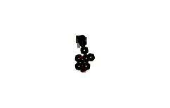 c1ccc2c(c1)-c1ccccc1C21c2cc(-c3ccc(-c4cn5cccnc5n4)cc3)c3ccccc3c2-c2ccc3ccccc3c21